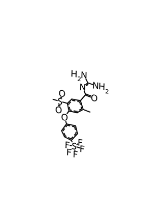 Cc1cc(Oc2ccc(S(F)(F)(F)(F)F)cc2)c(S(C)(=O)=O)cc1C(=O)N=C(N)N